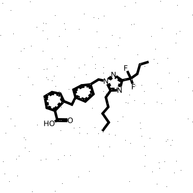 CCCCCc1nc(C(F)(F)CCC)nn1Cc1ccc(Cc2ccccc2C(=O)O)cc1